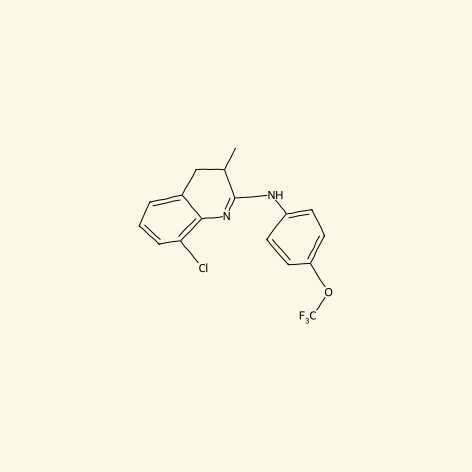 CC1Cc2cccc(Cl)c2N=C1Nc1ccc(OC(F)(F)F)cc1